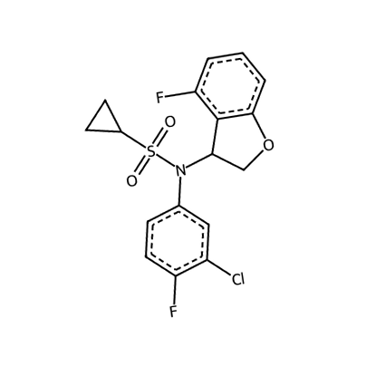 O=S(=O)(C1CC1)N(c1ccc(F)c(Cl)c1)C1COc2cccc(F)c21